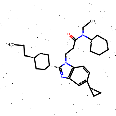 CCC[C@H]1CC[C@H](c2nc3cc(C4CC4)ccc3n2CCC(=O)N(CC)C2CCCCC2)CC1